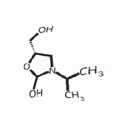 CC(C)N1C[C@@H](CO)OC1O